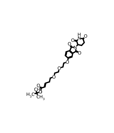 CC(C)(C)OC(=O)/C=C/CCOCCOCCOc1ccc2c(c1)C(=O)N(C1CCC(=O)NC1=O)C2=O